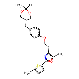 Cc1ccc(-c2nc(CCOc3ccc(C[C@H]4CO[C@](C)(C(=O)O)OC4)cc3)c(C)o2)s1